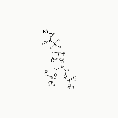 CCC(C)(CC(C)(C)C(=O)OC(C)(C)C)C(=O)OC(COC(=O)C(F)(F)F)COC(=O)C(F)(F)F